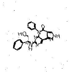 O=c1c2c[nH]nc2c2cnc(N[C@@H](CO)c3ccccc3)nc2n1-c1ccccc1